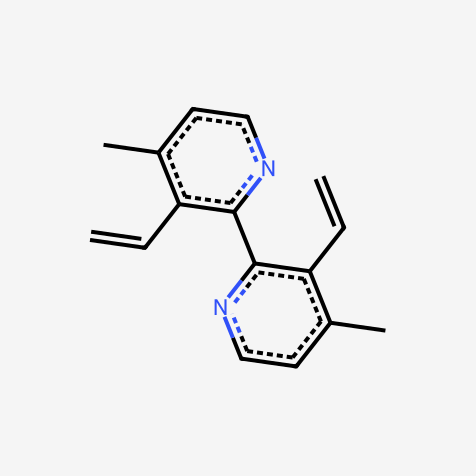 C=Cc1c(C)ccnc1-c1nccc(C)c1C=C